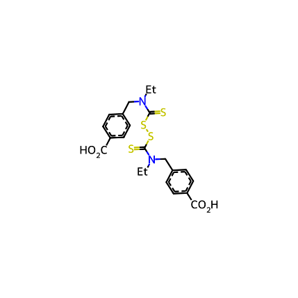 CCN(Cc1ccc(C(=O)O)cc1)C(=S)SSC(=S)N(CC)Cc1ccc(C(=O)O)cc1